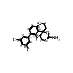 NC1=NC[C@@H](F)C2(CCOc3ccc(-c4cc(Cl)cc(Cl)c4)c(F)c32)O1